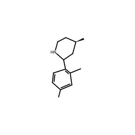 Cc1ccc(C2C[C@H](C)CCN2)c(C)c1